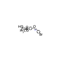 CN(CC(=O)O)S(=O)(=O)c1ccc(C(=O)/C=C/c2ccc(Br)cc2)cc1